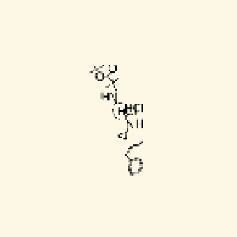 CC/C(=C\c1ccccc1)[C@@H]1C[C@H]1N[C@H]1CC[C@H](NCC(C)(C)C(=O)OC(C)(C)C)CC1.Cl.Cl